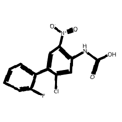 O=C(O)Nc1cc(Cl)c(-c2ccccc2F)cc1[N+](=O)[O-]